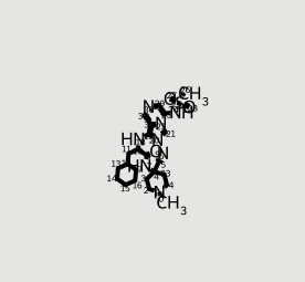 CN1CCC(C#N)(NC(=O)C(CC2CCCCC2)Nc2ncn3c(NS(C)(=O)=O)cncc23)CC1